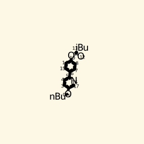 CCCCOc1ccc(-c2ccc(OC(=O)C(C)CC)cc2)nc1